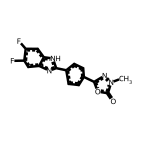 Cn1nc(-c2ccc(-c3nc4cc(F)c(F)cc4[nH]3)cc2)oc1=O